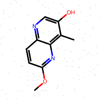 COc1ccc2ncc(O)c(C)c2n1